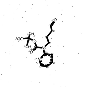 CC(C)(C)OC(=O)N(CCCC=O)c1ccccn1